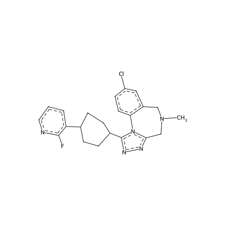 CN1Cc2cc(Cl)ccc2-n2c(nnc2C2CCC(c3cccnc3F)CC2)C1